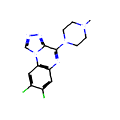 CN1CCN(c2nc3cc(Cl)c(Cl)cc3n3cnnc23)CC1